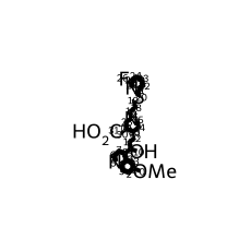 COc1ccc2nccc(C(O)CC[C@@H]3CCN(CCCSc4cccc(F)n4)C[C@@H]3CC(=O)O)c2c1